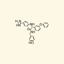 Cl.N=C(N)c1ccc(N[C@H](C(=O)NCc2ccccc2)c2cccc(Oc3ccccc3)c2)cc1